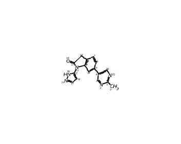 Cc1ncc(-c2ccc3c(c2)N(c2ccn[nH]2)C(=O)C3)cn1